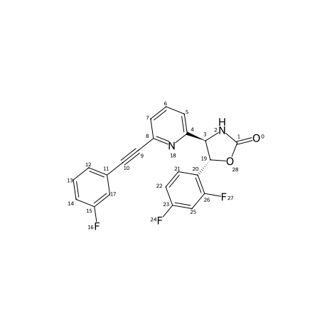 O=C1N[C@H](c2cccc(C#Cc3cccc(F)c3)n2)[C@@H](c2ccc(F)cc2F)O1